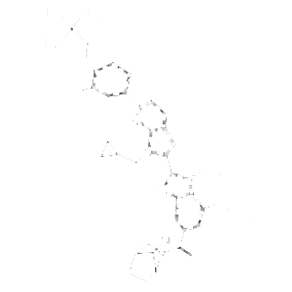 COc1cc(C(=O)N2CC3CCC2C3N)cc2nc(-c3cc4ccc(-c5ccc(OCC(C)(C)C)c(F)c5)nc4n3CC3CC3)n(C)c12